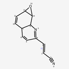 N#C/C=C/C1=NC2C(C=C1)C=CC1OC12